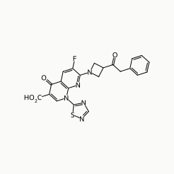 O=C(O)c1cn(-c2ncns2)c2nc(N3CC(C(=O)Cc4ccccc4)C3)c(F)cc2c1=O